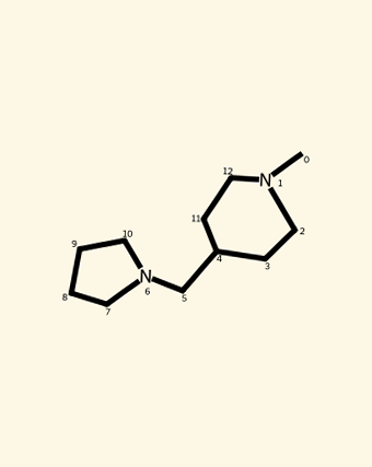 CN1CCC(CN2CCCC2)CC1